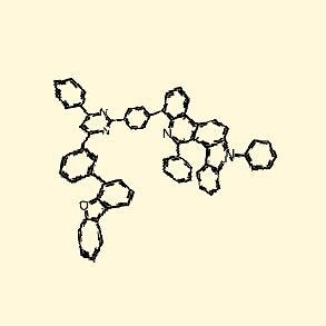 c1ccc(-c2cc(-c3cccc(-c4cccc5c4oc4ccccc45)c3)nc(-c3ccc(-c4cccc5c4nc(-c4ccccc4)c4c5ccc5c4c4ccccc4n5-c4ccccc4)cc3)n2)cc1